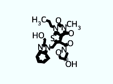 CCCn1c(=O)n(C)c(=O)c2c(C(=O)N3C[C@H](O)CO3)c(Cn3c(CO)nc4ccccc43)sc21